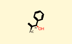 C=C(C(C)=O)[C@H](O)c1ccccc1